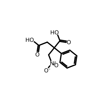 O=C(O)CC(C[N+](=O)[O-])(C(=O)O)c1ccccc1